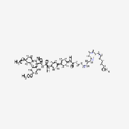 CCCCC/C=C\C/C=C\C/C=C\C/C=C\CCCC(=O)Nc1ccc(-c2ccc(NC(=O)Cc3onc(-c4ccc(OC)cc4)c3-c3ccc(OC)cc3)cc2)cc1